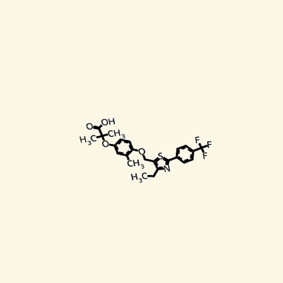 CCc1nc(-c2ccc(C(F)(F)F)cc2)sc1COc1ccc(OC(C)(C)C(=O)O)cc1C